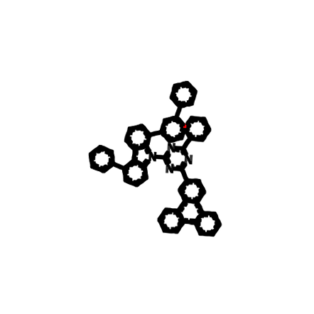 c1ccc(-c2cccc(-c3cccc4c5c(-c6ccccc6)cccc5n(-c5nc(-c6ccccc6)nc(-c6ccc7c8ccccc8c8ccccc8c7c6)n5)c34)c2)cc1